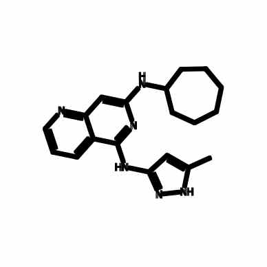 Cc1cc(Nc2nc(NC3CCCCCC3)cc3ncccc23)n[nH]1